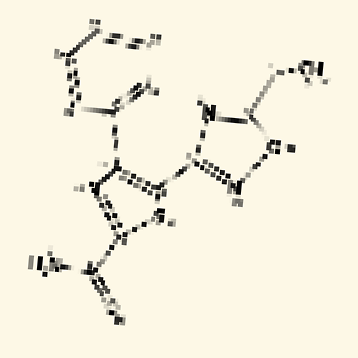 CCc1nc(-c2sc(C(N)=O)nc2-c2ccccc2)no1